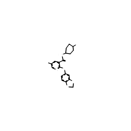 O=C(NC1CCC(C(=O)O)CC1)c1cc(F)cnc1Oc1ccc2c(c1)OCO2